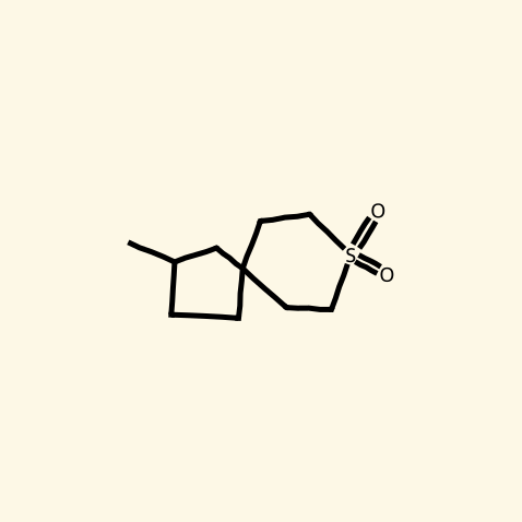 CC1CCC2(CCS(=O)(=O)CC2)C1